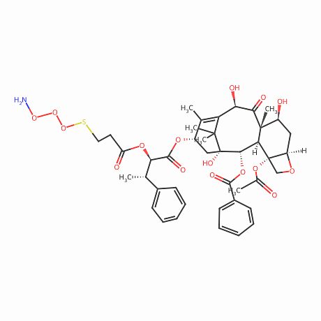 CC(=O)O[C@@]12CO[C@@H]1C[C@H](O)[C@@]1(C)C(=O)[C@H](O)C3=C(C)[C@@H](OC(=O)[C@H](OC(=O)CCSOOON)[C@@H](C)c4ccccc4)C[C@](O)([C@@H](OC(=O)c4ccccc4)[C@H]21)C3(C)C